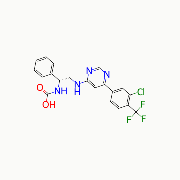 O=C(O)N[C@@H](CNc1cc(-c2ccc(C(F)(F)F)c(Cl)c2)ncn1)c1ccccc1